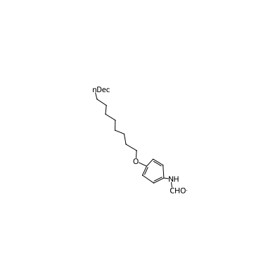 CCCCCCCCCCCCCCCCCCOc1ccc(N[C]=O)cc1